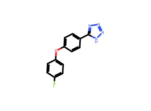 Fc1ccc(Oc2ccc(-c3nnn[nH]3)cc2)cc1